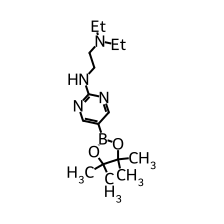 CCN(CC)CCNc1ncc(B2OC(C)(C)C(C)(C)O2)cn1